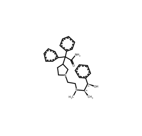 C[C@H]([C@H](O)c1ccccc1)N(C)CCN1CCC(C(C(N)=O)(c2ccccc2)c2ccccc2)C1